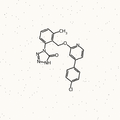 Cc1cccc(-n2nn[nH]c2=O)c1COc1cc(-c2ccc(Cl)cc2)ccn1